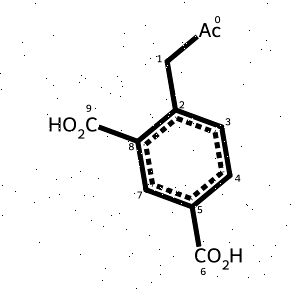 CC(=O)Cc1ccc(C(=O)O)cc1C(=O)O